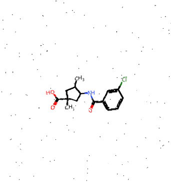 CC1CC(C)(C(=O)O)CC1NC(=O)c1cccc(Cl)c1